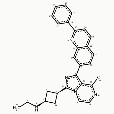 CCN[C@H]1C[C@@H](c2nc(-c3ccc4ccc(-c5ccccc5)nc4c3)c3c(Cl)nccn32)C1